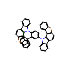 Fc1cccc(F)c1-c1cc(-n2c3ccccc3c3ccc4sc5ccccc5c4c32)c(C(F)(F)F)cc1-n1c2ccccc2c2ccc3sc4ccccc4c3c21